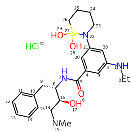 CCNc1cc(C(=O)N[C@@H](Cc2ccccc2)[C@@H](O)CNC)cc(N2CCCCS2(O)O)c1.Cl